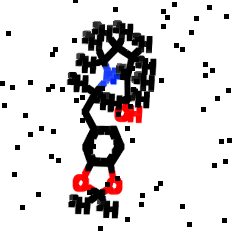 [2H]C1([2H])Oc2ccc(CC([2H])([2H])N3C([2H])([2H])C([2H])([2H])C([2H])([2H])[C@@]3([2H])C([2H])([2H])O)cc2O1